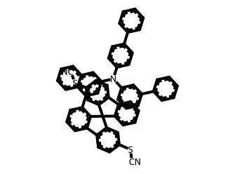 N#CSc1ccc2c(c1)C1(c3ccccc3-2)c2cc(SC#N)ccc2-c2cccc(-c3cc(N(c4ccc(-c5ccccc5)cc4)c4cccc(-c5ccccc5)c4)cc4ccccc34)c21